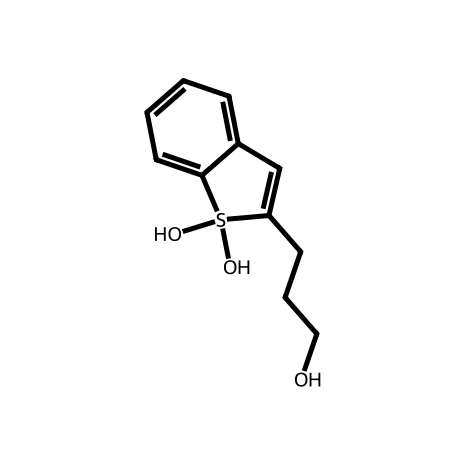 OCCCC1=Cc2ccccc2S1(O)O